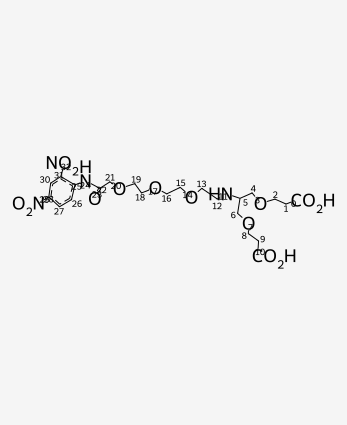 O=C(O)CCOCC(COCCC(=O)O)NCCOCCOCCOCC(=O)Nc1ccc([N+](=O)[O-])cc1[N+](=O)[O-]